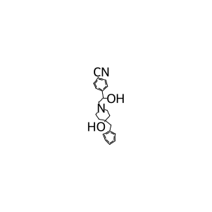 N#Cc1ccc(C(O)CN2CCC(O)(Cc3ccccc3)CC2)cc1